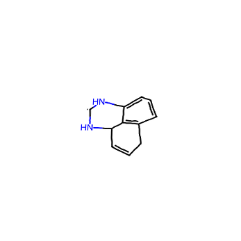 [CH]1Nc2cccc3c2C(C=CC3)N1